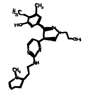 Cc1cc(-c2nn(CCO)cc2-c2ccnc(NCCC3CCCN3C)n2)cc(O)c1C